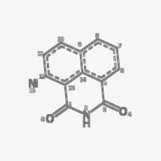 O=C1NC(=O)c2cccc3cccc1c23.[Ni]